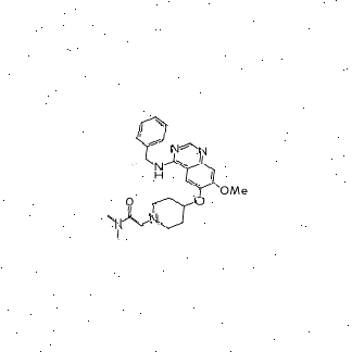 COc1cc2ncnc(N[C@H](C)c3ccccc3)c2cc1OC1CCN(CC(=O)N(C)C)CC1